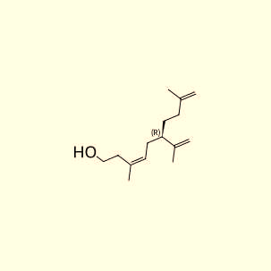 C=C(C)CC[C@H](CC=C(C)CCO)C(=C)C